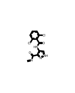 C=NC(=O)c1n[nH]cc1NC(=O)c1c(Cl)cccc1Cl